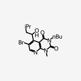 CCCCn1c(=O)c2c(C(O)CC(C)C)c(Br)cnc2n(C)c1=O